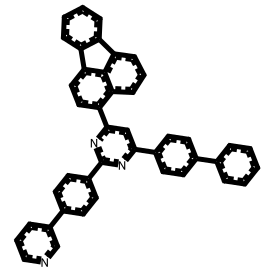 c1ccc(-c2ccc(-c3cc(-c4ccc5c6c(cccc46)-c4ccccc4-5)nc(-c4ccc(-c5cccnc5)cc4)n3)cc2)cc1